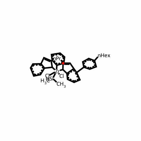 CCCCCCc1ccc(-c2cccc3c2C=C(CCC)[CH]3[Zr]([Cl])([Cl])([c]2ccccc2)([CH]2C=Cc3ccccc32)[SiH](C)C)cc1